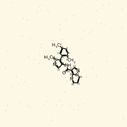 Cc1ccc(C)c(-c2c(NC(=O)c3cnn4cccnc34)cnn2C)c1